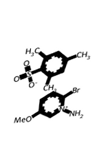 COc1ccc(Br)[n+](N)c1.Cc1cc(C)c(S(=O)(=O)[O-])c(C)c1